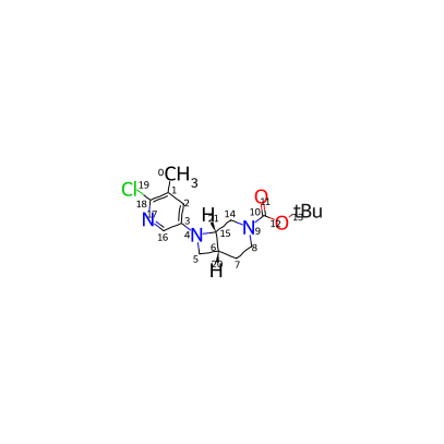 Cc1cc(N2C[C@H]3CCN(C(=O)OC(C)(C)C)C[C@H]32)cnc1Cl